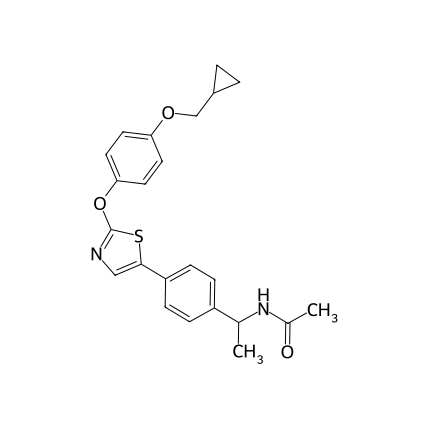 CC(=O)NC(C)c1ccc(-c2cnc(Oc3ccc(OCC4CC4)cc3)s2)cc1